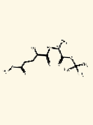 COC(=O)CCC(N)C(=O)N[C@@H](C)C(=O)OC(C)(C)C